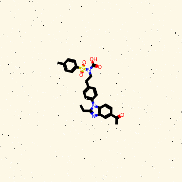 CCc1nc2cc(C(C)=O)ccc2n1-c1ccc(CCN(C(=O)O)S(=O)(=O)c2ccc(C)cc2)cc1